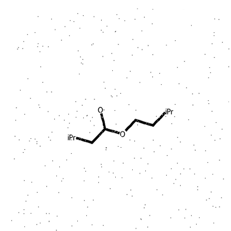 CC(C)CCOC([O])CC(C)C